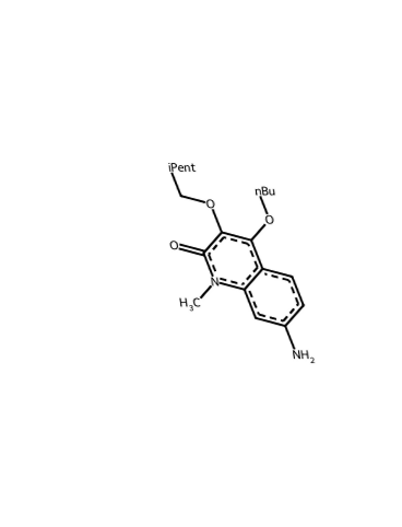 CCCCOc1c(OCC(C)CCC)c(=O)n(C)c2cc(N)ccc12